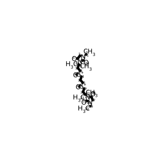 CCN1CC(=O)N(C(C)(C)CC[S+]([O-])CCC[S+]([O-])CCC(C)(C)N2C(=O)CN(CC)C2=O)C1=O